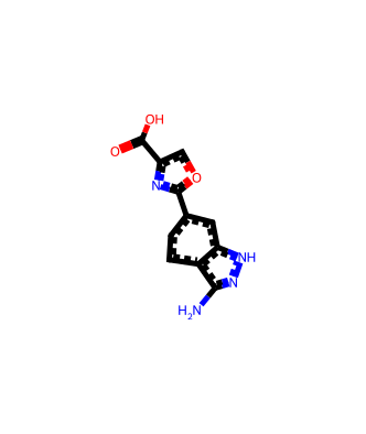 Nc1n[nH]c2cc(-c3nc(C(=O)O)co3)ccc12